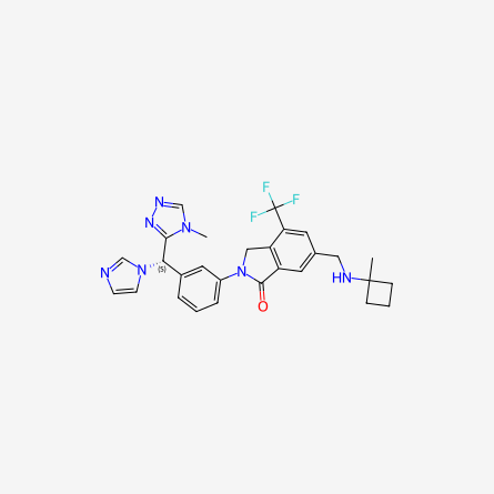 Cn1cnnc1[C@H](c1cccc(N2Cc3c(cc(CNC4(C)CCC4)cc3C(F)(F)F)C2=O)c1)n1ccnc1